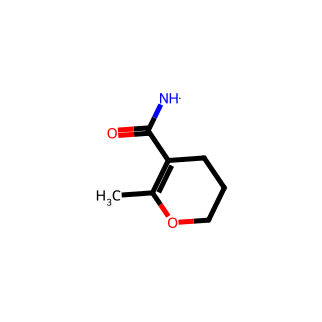 CC1=C(C([NH])=O)CCCO1